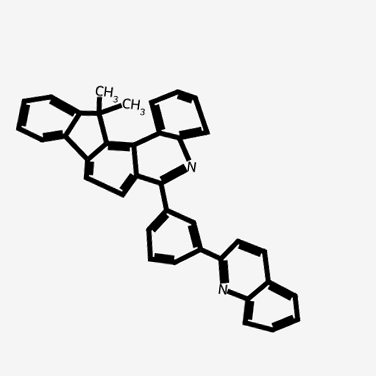 CC1(C)c2ccccc2-c2ccc3c(-c4cccc(-c5ccc6ccccc6n5)c4)nc4ccccc4c3c21